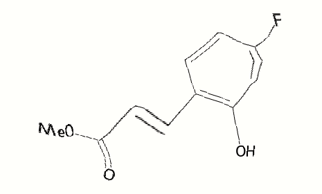 COC(=O)C=Cc1ccc(F)cc1O